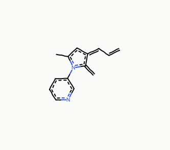 C=C/C=c1/cc(C)n(-c2cccnc2)c1=C